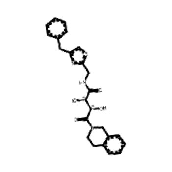 O=C(NCc1nc(Cc2ccccc2)cs1)[C@H](O)[C@@H](O)C(=O)N1CCc2ccccc2C1